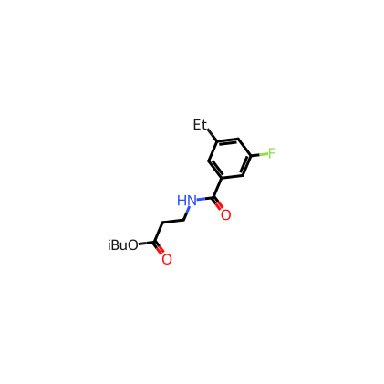 CCc1cc(F)cc(C(=O)NCCC(=O)OCC(C)C)c1